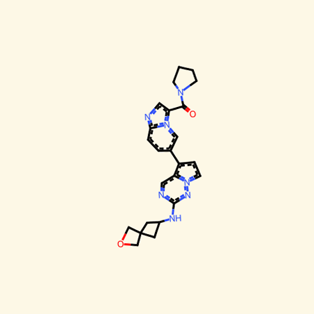 O=C(c1cnc2ccc(-c3ccn4nc(NC5CC6(COC6)C5)ncc34)cn12)N1CCCC1